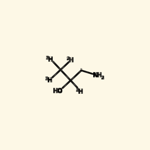 [2H]C([2H])([2H])C([2H])(O)[CH]N